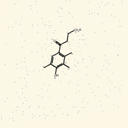 Cc1cc(C(=O)CCC(=O)O)c(C)c(C)c1O